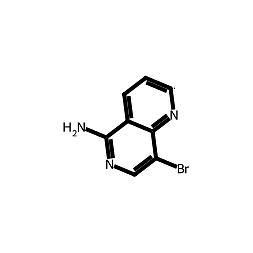 Nc1ncc(Br)c2n[c]ccc12